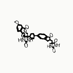 COc1ccc2c(c1)C(=O)N(C[C@@]1(c3ccc(-c4ccc5c(c4)CC(CC4(C)NC(=O)NC4=O)C5=O)cc3)NC(=O)NC1=O)C2